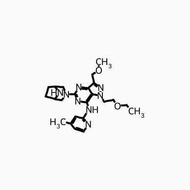 CCOCCn1nc(COC)c2nc(N3CC4CCC(C3)N4)nc(Nc3cc(C)ccn3)c21